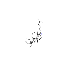 CC[Si](CC)(CC)O[C@H]1CCC[C@]2(C)/C(=C\CCCC(C)C)CC[C@@H]12